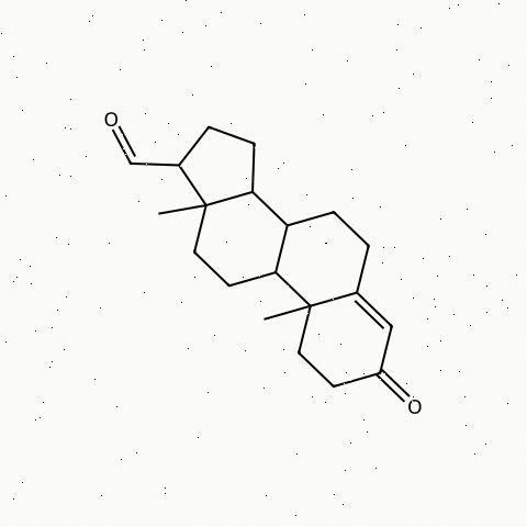 CC12CCC(=O)C=C1CCC1C2CCC2(C)C(C=O)CCC12